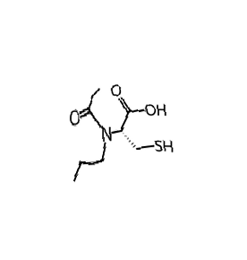 CCCN(C(C)=O)[C@@H](CS)C(=O)O